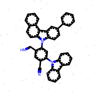 N#Cc1cc(C=N)c(-n2c3ccc(-c4ccccc4)cc3c3c4ccccc4ccc32)cc1-n1c2ccccc2c2ccccc21